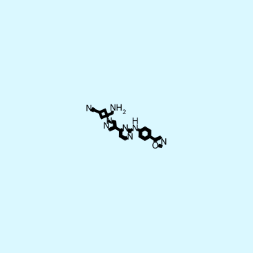 N#CC1CC(CN)(n2cc(-c3ccnc(Nc4ccc(-c5cnco5)cc4)n3)cn2)C1